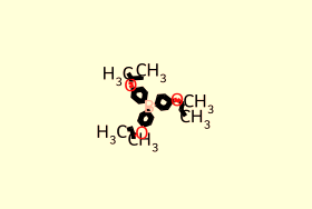 CCC(C)Oc1ccc(B(c2ccc(OC(C)CC)cc2)c2ccc(OC(C)CC)cc2)cc1